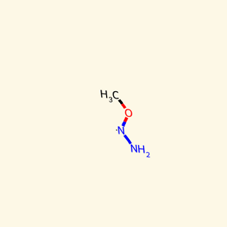 CO[N]N